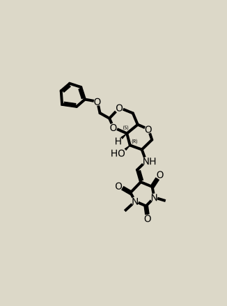 CN1C(=O)C(=CNC2COC3COC(COc4ccccc4)O[C@H]3[C@@H]2O)C(=O)N(C)C1=O